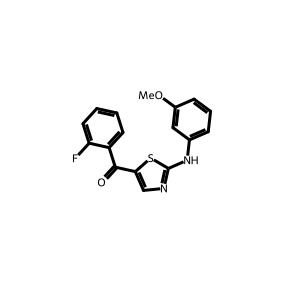 COc1cccc(Nc2ncc(C(=O)c3ccccc3F)s2)c1